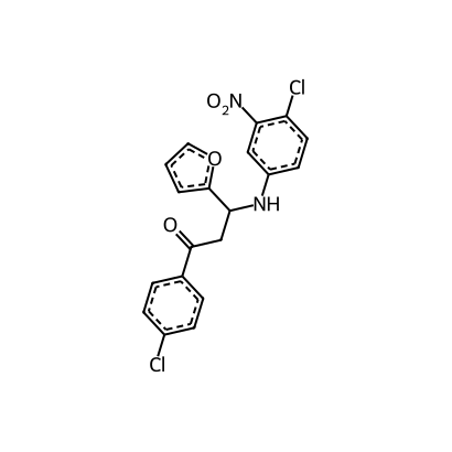 O=C(CC(Nc1ccc(Cl)c([N+](=O)[O-])c1)c1ccco1)c1ccc(Cl)cc1